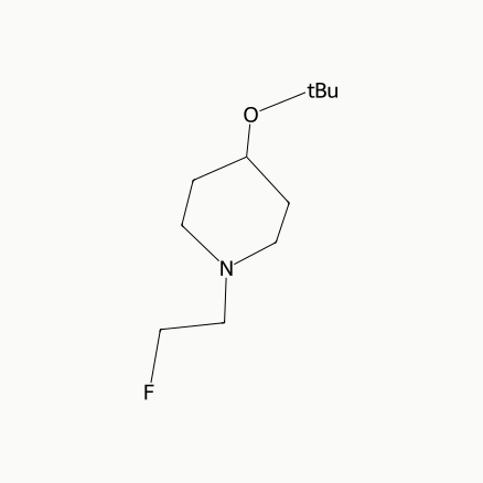 CC(C)(C)OC1CCN(CCF)CC1